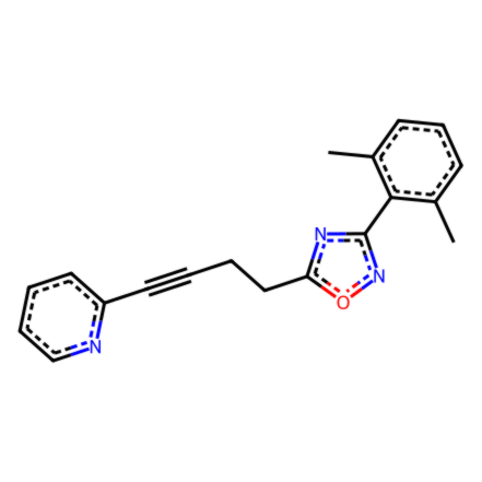 Cc1cccc(C)c1-c1noc(CCC#Cc2ccccn2)n1